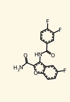 NC(=O)c1oc2ccc(F)cc2c1NC(=O)c1ccc(F)c(F)c1